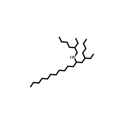 CCCCCCCCCCCC(CC(CC)CCCC)NCC(CC)CCCC